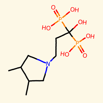 CC1CN(CCC(O)(P(=O)(O)O)P(=O)(O)O)CC1C